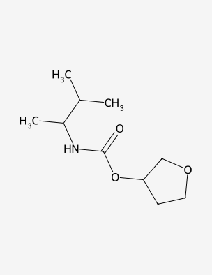 CC(C)C(C)NC(=O)OC1CCOC1